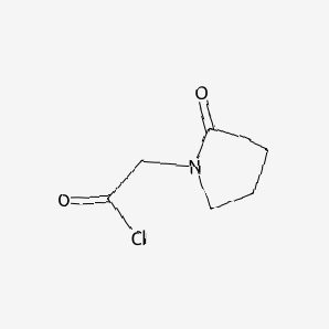 O=C(Cl)CN1CCCC1=O